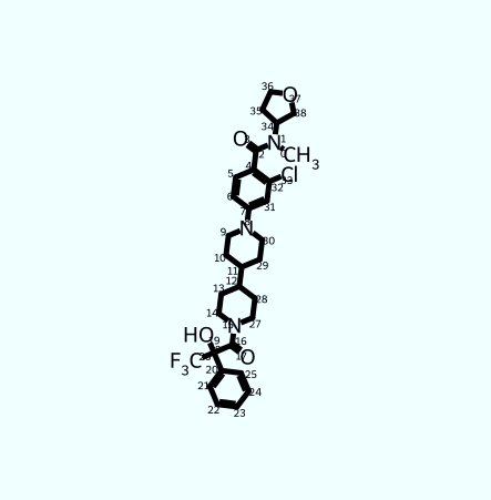 CN(C(=O)c1ccc(N2CCC(C3CCN(C(=O)C(O)(c4ccccc4)C(F)(F)F)CC3)CC2)cc1Cl)C1CCOC1